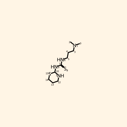 CN(C)CCCNC(=S)NC1NCCCS1